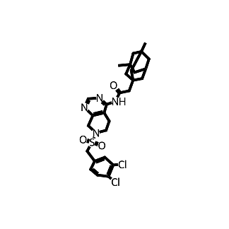 CC12CC3CC(C)(C1)CC(CC(=O)Nc1ncnc4c1CCN(S(=O)(=O)Cc1ccc(Cl)c(Cl)c1)C4)(C3)C2